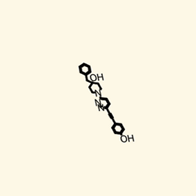 Oc1ccc(C#Cc2ccc(N3CCC(O)(Cc4ccccc4)CC3)nn2)cc1